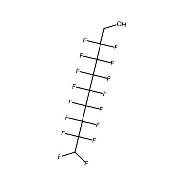 OCC(F)(F)C(F)(F)C(F)(F)C(F)(F)C(F)(F)C(F)(F)C(F)(F)C(F)F